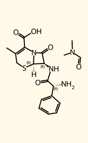 CC1=C(C(=O)O)N2C(=O)[C@@H](NC(=O)[C@H](N)c3ccccc3)[C@H]2SC1.CN(C)C=O